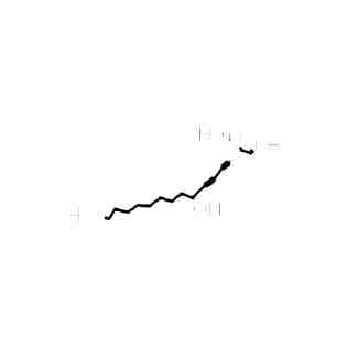 C=C[C@@H](C#CC#C[C@@H](O)CCCCCCCCC)OC